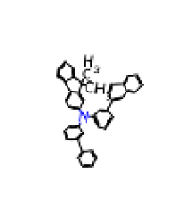 CC1(C)c2ccccc2-c2ccc(N(c3cccc(-c4ccccc4)c3)c3cccc(-c4ccc5ccccc5c4)c3)cc21